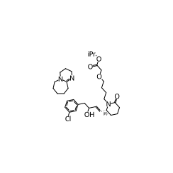 C1CCC2=NCCCN2CC1.CC(C)OC(=O)COCCCCN1C(=O)CCC[C@@H]1C=CC(O)Cc1cccc(Cl)c1